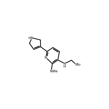 CNc1nc(C2=CCNC2)ccc1NCC(C)(C)C